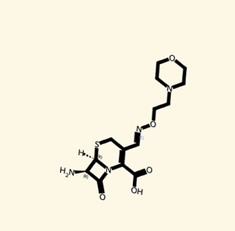 N[C@@H]1C(=O)N2C(C(=O)O)=C(/C=N/OCCN3CCOCC3)CS[C@H]12